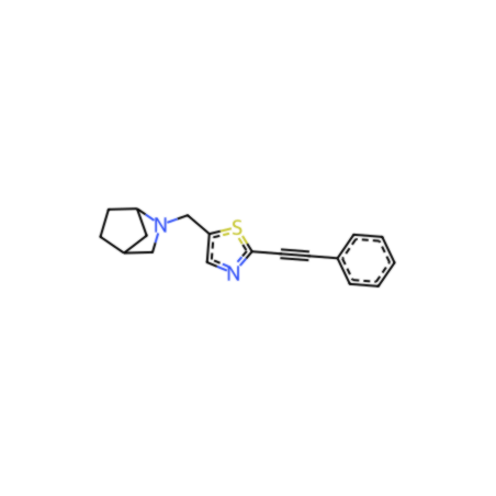 C(#Cc1ncc(CN2CC3CCC2C3)s1)c1ccccc1